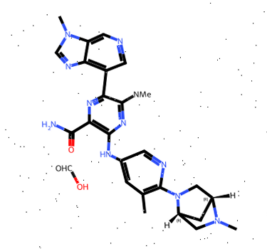 CNc1nc(Nc2cnc(N3C[C@H]4C[C@@H]3CN4C)c(C)c2)c(C(N)=O)nc1-c1cncc2c1ncn2C.O=CO